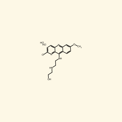 COc1ccc2c(NCCNCCO)c3nc(Cl)ccc3nc2c1.Cl.Cl